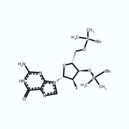 CC(C)(C)[Si](C)(C)OC[C@H]1O[C@@H](n2cnc3c(=O)[nH]c(N)nc32)[C@H](F)[C@@H]1O[Si](C)(C)C(C)(C)C